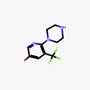 FC(F)(F)c1cc(I)cnc1N1CCNCC1